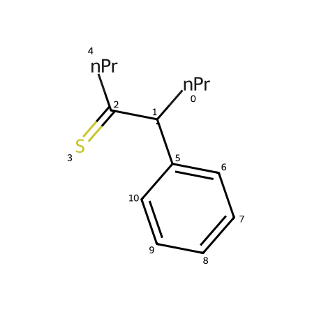 CCC[C](C(=S)CCC)c1ccccc1